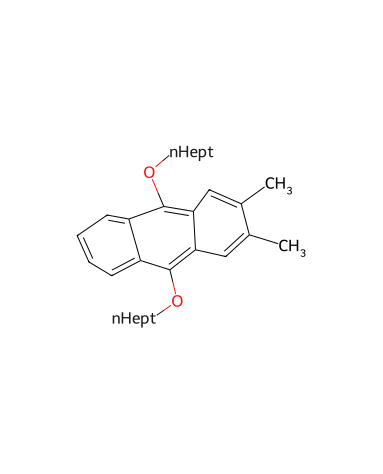 CCCCCCCOc1c2ccccc2c(OCCCCCCC)c2cc(C)c(C)cc12